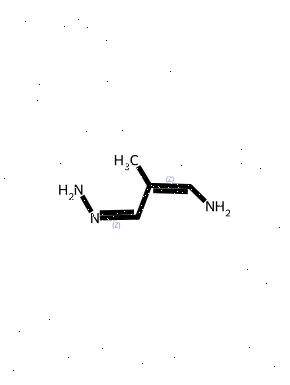 CC(/C=N\N)=C/N